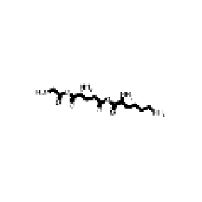 NCCCCC(N)C(=O)OC(=O)CC[C@H](N)C(=O)OC(=O)CN